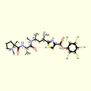 CCC(C)[C@H](NC(=O)[C@@]1(C)CCCN1C)C(=O)N(C)[C@H](C[C@@H](OC(C)=O)c1nc(C(=O)Oc2c(F)c(F)c(F)c(F)c2F)cs1)C(C)C